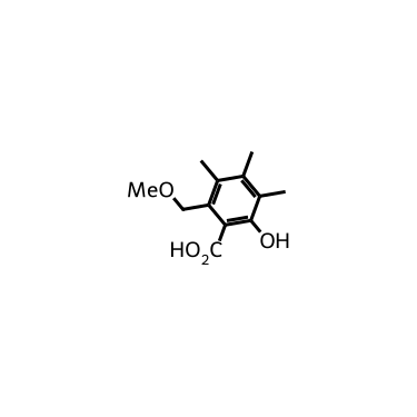 COCc1c(C)c(C)c(C)c(O)c1C(=O)O